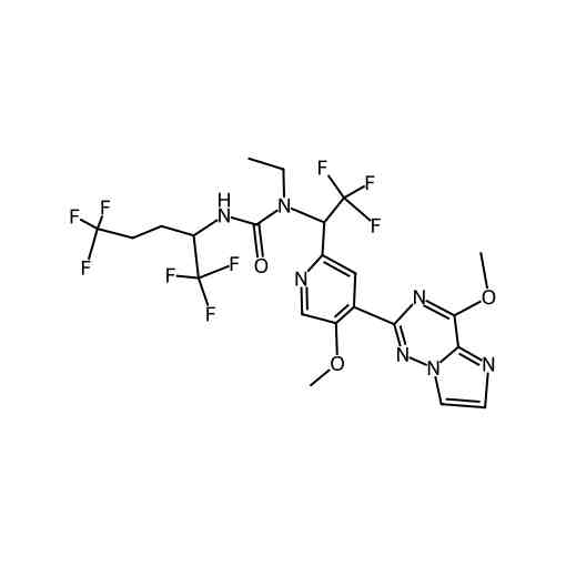 CCN(C(=O)NC(CCC(F)(F)F)C(F)(F)F)C(c1cc(-c2nc(OC)c3nccn3n2)c(OC)cn1)C(F)(F)F